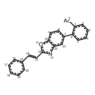 CC(=O)c1ccccc1-c1ccc2oc(/C=C/c3ccccc3)nc2c1